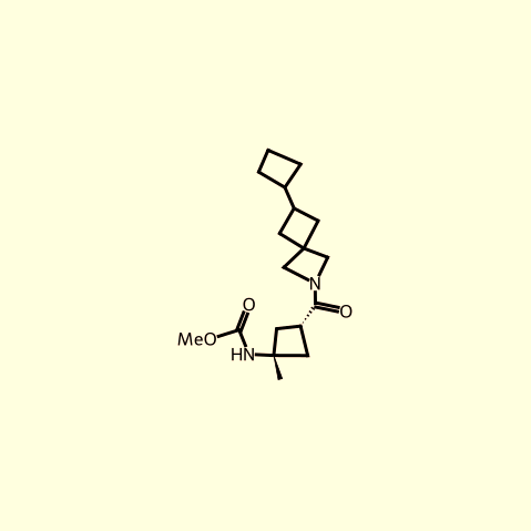 COC(=O)N[C@]1(C)C[C@H](C(=O)N2CC3(CC(C4CCC4)C3)C2)C1